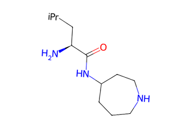 CC(C)C[C@H](N)C(=O)NC1CCCNCC1